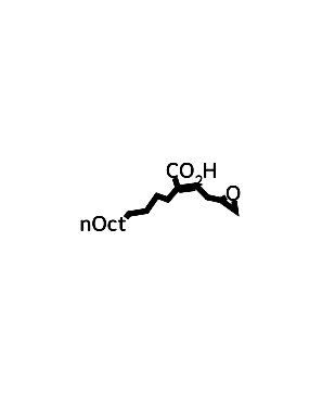 CCCCCCCCCCCCC(=CCC1CO1)C(=O)O